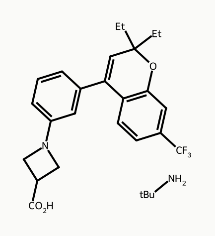 CC(C)(C)N.CCC1(CC)C=C(c2cccc(N3CC(C(=O)O)C3)c2)c2ccc(C(F)(F)F)cc2O1